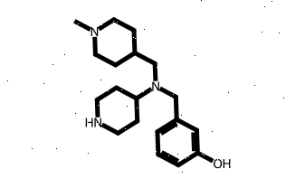 CN1CCC(CN(Cc2cccc(O)c2)C2CCNCC2)CC1